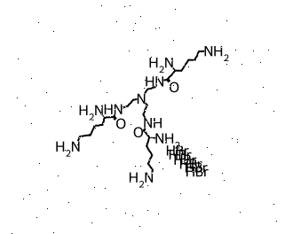 Br.Br.Br.Br.Br.Br.NCCCC[C@H](N)C(=O)NCCN(CCNC(=O)[C@@H](N)CCCCN)CCNC(=O)[C@@H](N)CCCCN